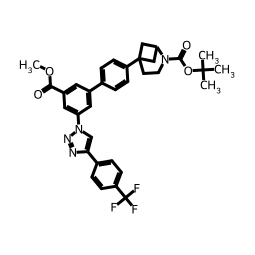 COC(=O)c1cc(-c2ccc(C34CCN(C(=O)OC(C)(C)C)C(C3)C4)cc2)cc(-n2cc(-c3ccc(C(F)(F)F)cc3)nn2)c1